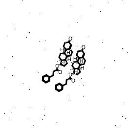 C[C@]12CC[C@H]3[C@@H](CCC4=CC(=O)CC[C@@H]43)[C@@H]1CC[C@@H]2OC(=O)CCc1ccccc1.C[C@]12CC[C@H]3[C@@H](CCC4=CC(=O)CC[C@@H]43)[C@@H]1CC[C@@H]2OC(=O)CCc1ccccc1